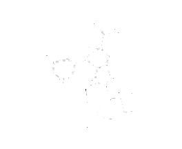 C[C@H]1CC[C@H](Cn2c(N3CCO[C@@H]4CCC[C@H]43)nc3cc(/C(N)=N/O)nc(-c4cncc(Cl)c4)c32)CC1